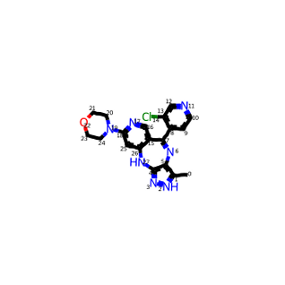 Cc1[nH]nc2c1N=C(c1ccncc1Cl)c1cnc(N3CCOCC3)cc1N2